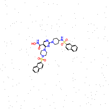 O=C(NO)c1cnc(N2CCC(NS(=O)(=O)c3ccc4ccccc4c3)CC2)nc1N1CCN(S(=O)(=O)c2ccc3ccccc3c2)CC1